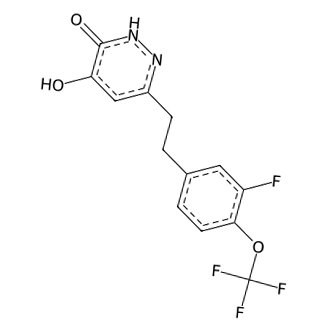 O=c1[nH]nc(CCc2ccc(OC(F)(F)F)c(F)c2)cc1O